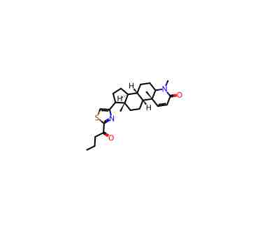 CCCC(=O)c1nc(C2CC[C@H]3[C@@H]4CCC5N(C)C(=O)C=C[C@]5(C)[C@@H]4CC[C@]23C)cs1